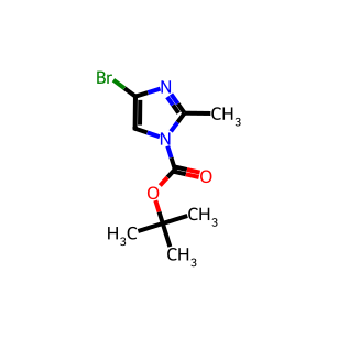 Cc1nc(Br)cn1C(=O)OC(C)(C)C